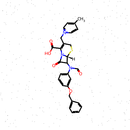 Cc1cc[n+](CC2=C(C(=O)O)N3C(=O)C(N(C=O)c4cccc(OCc5ccccc5)c4)[C@H]3SC2)cc1